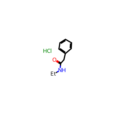 CCNC(=O)Cc1ccccc1.Cl